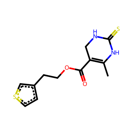 CC1=C(C(=O)OCCc2ccsc2)CNC(=S)N1